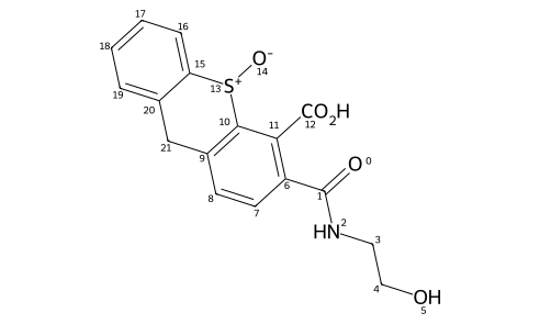 O=C(NCCO)c1ccc2c(c1C(=O)O)[S+]([O-])c1ccccc1C2